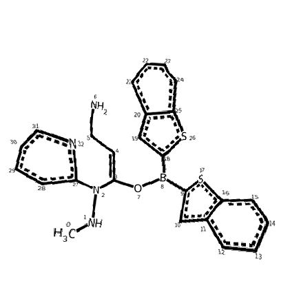 CNN(/C(=C\CN)OB(c1cc2ccccc2s1)c1cc2ccccc2s1)c1ccccn1